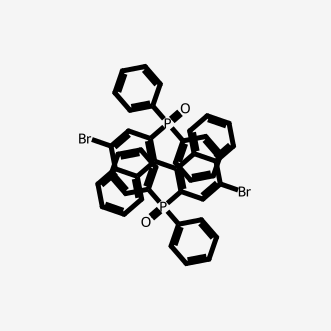 O=P(c1ccccc1)(c1ccccc1)c1cc(Br)c2ccccc2c1-c1c(P(=O)(c2ccccc2)c2ccccc2)cc(Br)c2ccccc12